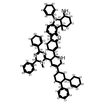 CN1C(C2C=C(C3CCC(c4ccccc4)C(C4C=CCCC4)C3)CNC2C2=Cc3oc4c5c(ccc4c3CC2)N(C2=CCCC=C2)C2C(N)CCCC52C)=NC(C2=CCCC=C2)=NC1c1ccccc1